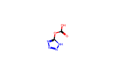 O=C(O)Oc1nnn[nH]1